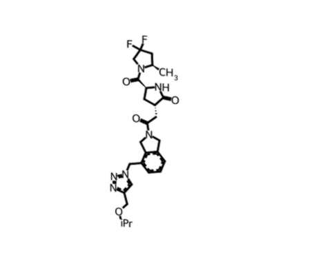 CC(C)OCc1cn(Cc2cccc3c2CN(C(=O)C[C@@H]2C[C@@H](C(=O)N4CC(F)(F)C[C@H]4C)NC2=O)C3)nn1